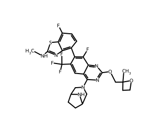 CNc1nc2c(-c3c(C(F)(F)F)cc4c(N5CC6CCC(C5)N6)nc(OCC5(C)CCO5)nc4c3F)ccc(F)c2s1